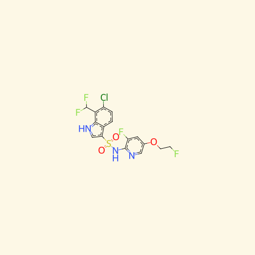 O=S(=O)(Nc1ncc(OCCF)cc1F)c1c[nH]c2c(C(F)F)c(Cl)ccc12